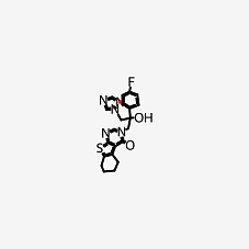 O=c1c2c3c(sc2ncn1CC(O)(Cn1cncn1)c1ccc(F)cc1)CCCC3